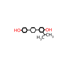 CC(C)c1cc(C2C=CC(c3ccc(O)cc3)CC2)ccc1O